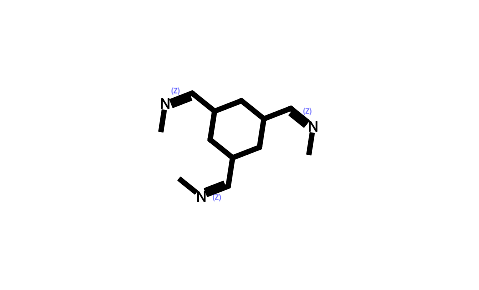 C/N=C\C1CC(/C=N\C)CC(/C=N\C)C1